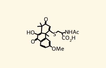 COc1ccc2c(c1)C1(C)C(SCC(NC(C)=O)C(=O)O)=CC(=O)C(C)(C)C1=C(O)C2=O